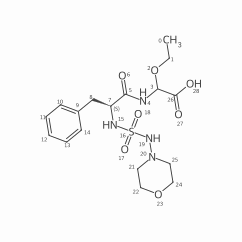 CCOC(NC(=O)[C@H](Cc1ccccc1)NS(=O)(=O)NN1CCOCC1)C(=O)O